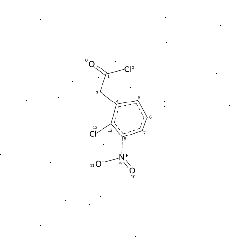 O=C(Cl)Cc1cccc([N+](=O)[O-])c1Cl